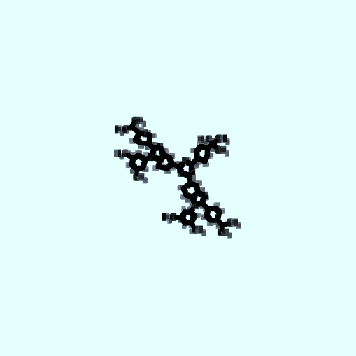 Cc1cc(C)cc(-n2c(-c3ccc(C(C)C)cc3)nc3cc(-c4nc(-c5ccc(C(C)(C)C)cc5)nc(-c5ccc6c(c5)nc(-c5ccc(C(C)C)cc5)n6-c5cc(C)cc(C)c5)n4)ccc32)c1